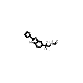 CC(C)(CNC=O)c1ccc2[nH]c(-c3ccco3)nc2c1